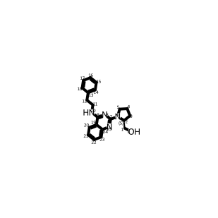 OC[C@@H]1CCCN1c1nc(NCCc2ccccc2)c2ccccc2n1